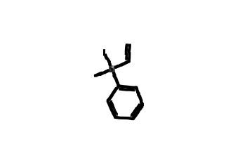 C=C[Si](C)(I)c1ccccc1